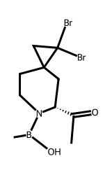 CB(O)N1CCC2(C[C@@H]1C(C)=O)CC2(Br)Br